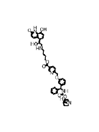 O=C(NC(c1ccccc1)c1cccc(OCc2ccc(C(=O)OCCCCNC[C@H](O)c3ccc(O)c4[nH]c(=O)ccc34)cn2)c1)O[C@H]1CN2CCC1CC2